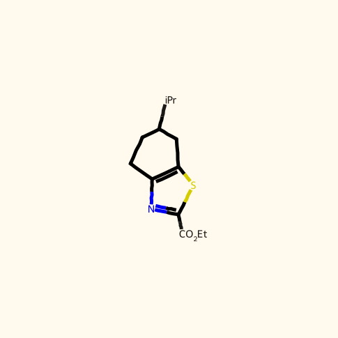 CCOC(=O)c1nc2c(s1)CC(C(C)C)CC2